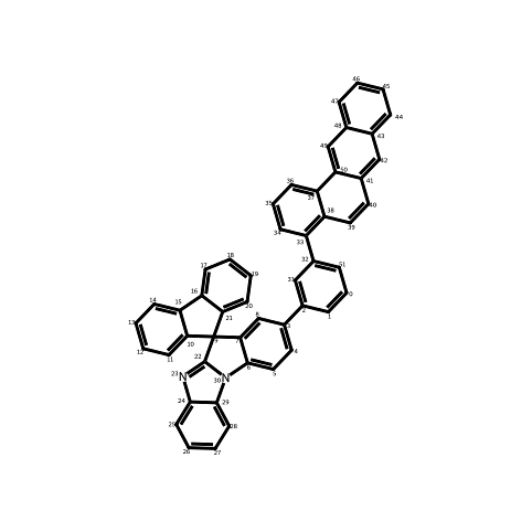 c1cc(-c2ccc3c(c2)C2(c4ccccc4-c4ccccc42)c2nc4ccccc4n2-3)cc(-c2cccc3c2ccc2cc4ccccc4cc23)c1